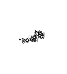 O=S(O)c1ccc(C2CC(O)(c3ccc(OCc4c(-c5c(Cl)cccc5Cl)noc4C4CC4)cc3Cl)C2)cc1